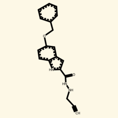 C#CCNNC(=O)c1cc2cc(OCc3ccccc3)ccc2[nH]1